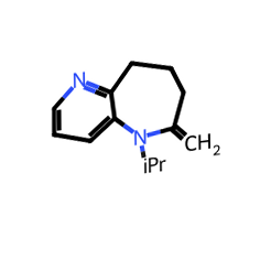 C=C1CCCc2ncccc2N1C(C)C